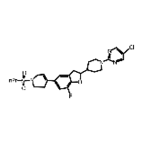 CCCS(=O)(=O)N1CC=C(c2cc(F)c3c(c2)CC(C2CCN(c4ncc(Cl)cn4)CC2)O3)CC1